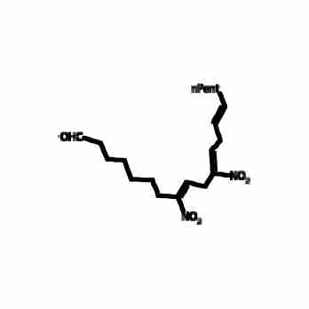 CCCCC/C=C/C/C=C(/C/C=C(/CCCCCC[C]=O)[N+](=O)[O-])[N+](=O)[O-]